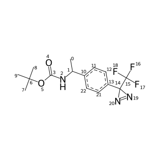 CC(NC(=O)OC(C)(C)C)c1ccc(C2(C(F)(F)F)N=N2)cc1